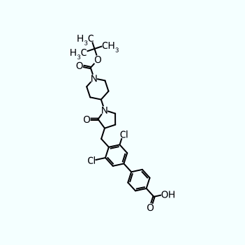 CC(C)(C)OC(=O)N1CCC(N2CCC(Cc3c(Cl)cc(-c4ccc(C(=O)O)cc4)cc3Cl)C2=O)CC1